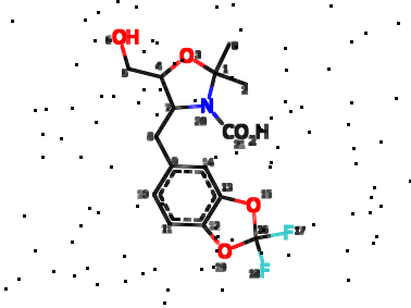 CC1(C)OC(CO)C(Cc2ccc3c(c2)OC(F)(F)O3)N1C(=O)O